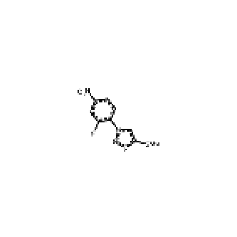 CSc1cn(-c2ccc([N+](=O)[O-])cc2F)nn1